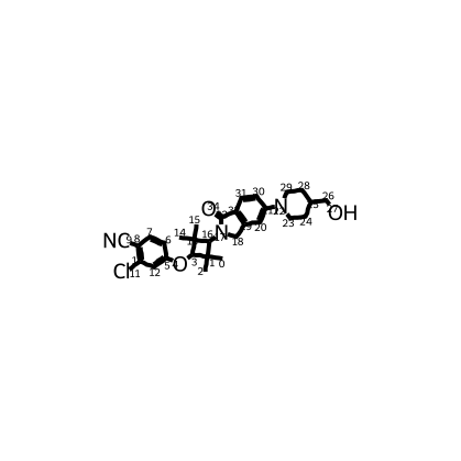 CC1(C)C(Oc2ccc(C#N)c(Cl)c2)C(C)(C)C1N1Cc2cc(N3CCC(CO)CC3)ccc2C1=O